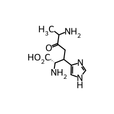 CC(N)C(=O)CC(c1c[nH]cn1)[C@H](N)C(=O)O